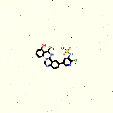 CC(Nc1ncnc2ccc(-c3cnc(Cl)c(NS(C)(=O)=O)c3)cc12)c1ccccc1O